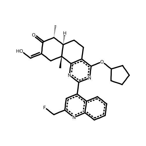 C[C@H]1C(=O)/C(=C\O)C[C@@]2(C)c3nc(-c4cc(CF)nc5ccccc45)nc(OC4CCCC4)c3CC[C@H]12